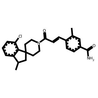 Cc1cc(C(N)=O)ccc1/C=C/C(=O)N1CCC2(CC1)CC(C)c1cccc(Cl)c12